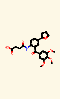 COc1cc(C(=O)c2cc(-c3ccco3)ccc2NC(=O)CCC(=O)O)cc(OC)c1OC